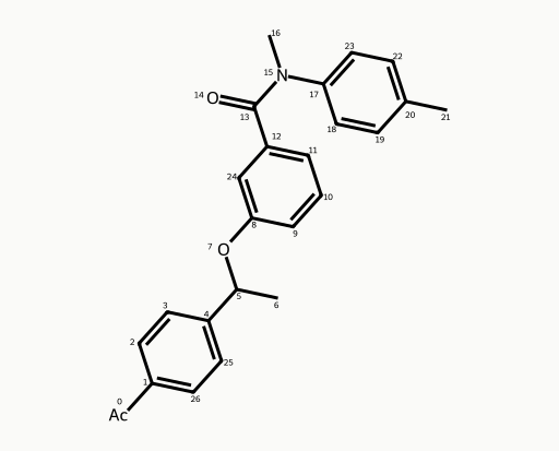 CC(=O)c1ccc(C(C)Oc2cccc(C(=O)N(C)c3ccc(C)cc3)c2)cc1